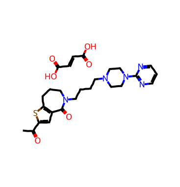 CC(=O)c1cc2c(s1)CCCN(CCCCN1CCN(c3ncccn3)CC1)C2=O.O=C(O)C=CC(=O)O